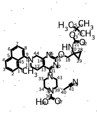 Cc1cccc2cccc(N3CCc4c(nc(OCC5(NC(=O)OC(C)(C)C)CC5)nc4N4CCN(C(=O)O)[C@@H](CC#N)C4)C3)c12